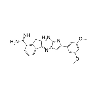 COc1cc(OC)cc(-c2cn(N=C3CCc4c(C(=N)N)cccc43)c(N)n2)c1